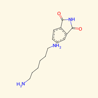 NCCCCCCN.O=C1NC(=O)c2ccccc21